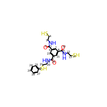 O=C(NCCS)c1cc(C(=O)NCCS)cc(C(=O)NCCS)c1.c1ccccc1